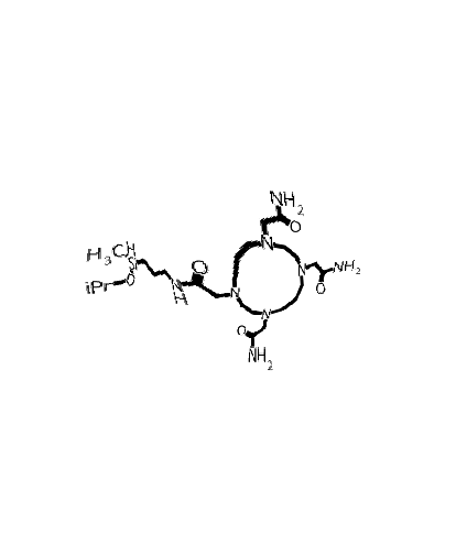 CC(C)O[SiH](C)CCCNC(=O)CN1CCCN(CC(N)=O)CCN(CC(N)=O)CCCN(CC(N)=O)CC1